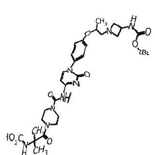 CC(CN1CC(NC(=O)OC(C)(C)C)C1)Oc1ccc(-n2ccc(NC(=O)N3CCN(C(=O)C(C)(C)NC(=O)O)CC3)nc2=O)cc1